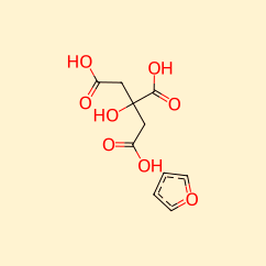 O=C(O)CC(O)(CC(=O)O)C(=O)O.c1ccoc1